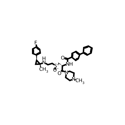 CN1CCN(C(=O)[C@H](C[S+]([O-])CCN[C@]2(C)C[C@H]2c2ccc(F)cc2)NC(=O)c2ccc(-c3ccccc3)cc2)CC1